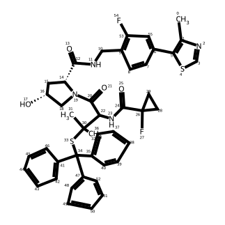 Cc1ncsc1-c1ccc(CNC(=O)[C@H]2C[C@@H](O)CN2C(=O)C(NC(=O)C2(F)CC2)C(C)(C)SC(c2ccccc2)(c2ccccc2)c2ccccc2)c(F)c1